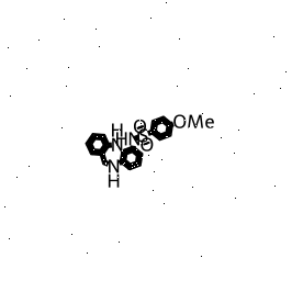 COc1ccc(S(=O)(=O)Nc2cccc3c2Nc2ccccc2CN3)cc1